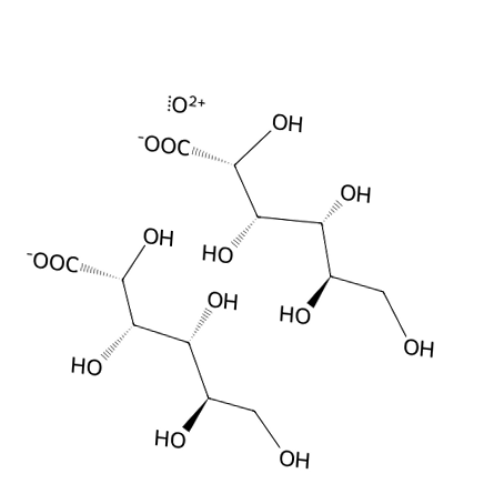 O=C([O-])[C@H](O)[C@@H](O)[C@H](O)[C@H](O)CO.O=C([O-])[C@H](O)[C@@H](O)[C@H](O)[C@H](O)CO.[O+2]